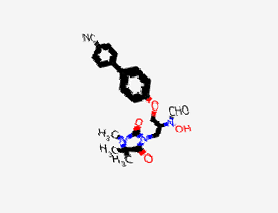 CN1C(=O)N(CC(COc2ccc(-c3ccc(C#N)cc3)cc2)N(O)C=O)C(=O)C1(C)C